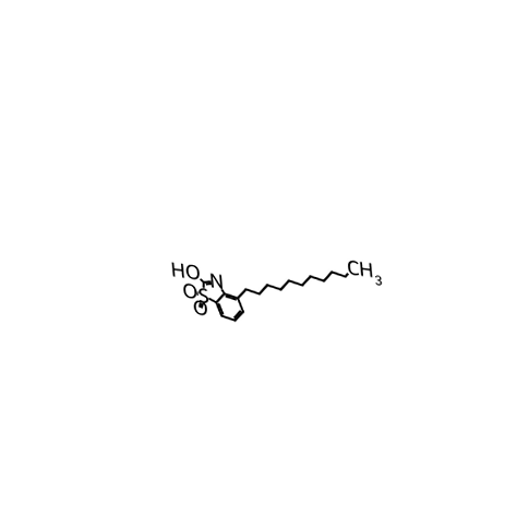 CCCCCCCCCCCc1cccc2c1N=C(O)S2(=O)=O